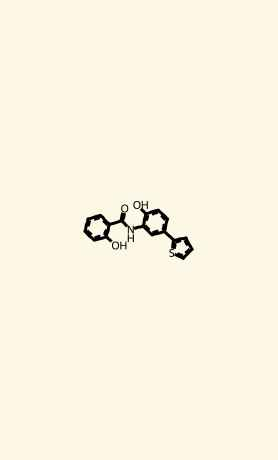 O=C(Nc1cc(-c2cccs2)ccc1O)c1ccccc1O